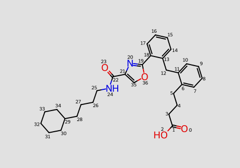 O=C(O)CCCc1ccccc1Cc1ccccc1-c1nc(C(=O)NCCCCC2CCCCC2)co1